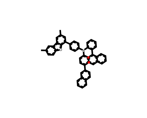 Cc1ccc2oc3c(-c4ccc(N(c5ccc(-c6ccc7ccccc7c6)cc5)c5ccccc5-c5cccc6ccccc56)cc4)cc(C)cc3c2c1